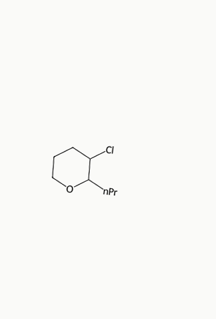 CCCC1OCCCC1Cl